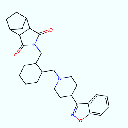 O=C1C2C3CCC(C3)C2C(=O)N1CC1CCCCC1CN1CCC(c2noc3ccccc23)CC1